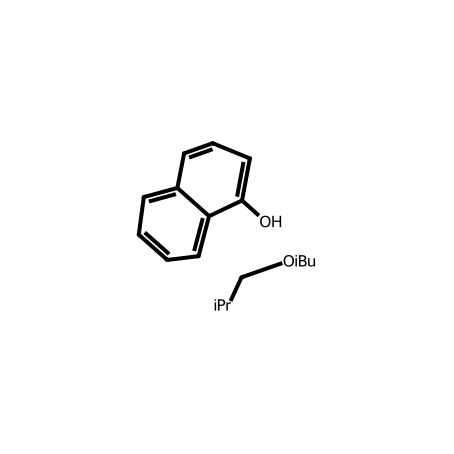 CC(C)COCC(C)C.Oc1cccc2ccccc12